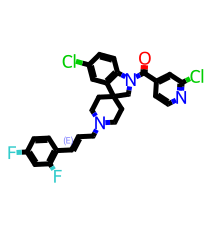 O=C(c1ccnc(Cl)c1)N1CC2(CCN(C/C=C/c3ccc(F)cc3F)CC2)c2cc(Cl)ccc21